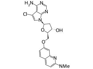 CNc1ccc2ccc(OC[C@H]3O[C@@H](n4cc(Cl)c5c(N)ncnc54)C[C@@H]3O)cc2n1